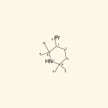 CC(C)C1CCC(C)(C)NC1(C)C